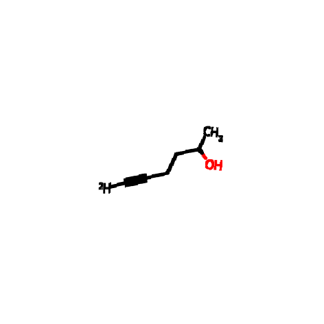 [2H]C#CCCC(C)O